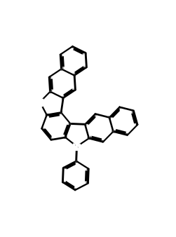 c1ccc(-n2c3cc4ccccc4cc3c3c4c(ccc32)sc2cc3ccccc3cc24)cc1